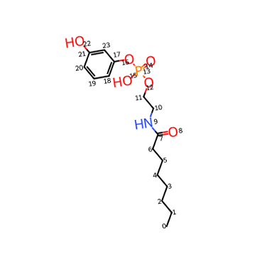 CCCCCCCC(=O)NCCOP(=O)(O)Oc1cccc(O)c1